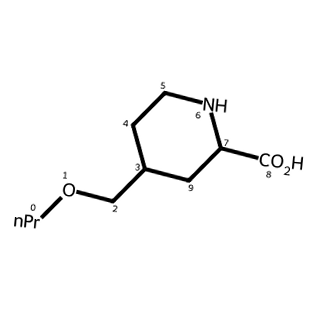 CCCOCC1CCNC(C(=O)O)C1